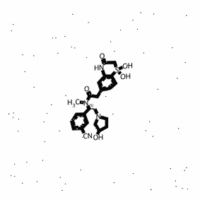 CN(C(=O)Cc1ccc2c(c1)NC(=O)CS2(O)O)[C@H](CN1CCC(O)C1)c1cccc(C#N)c1